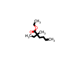 C=CCCC(C)(CC)C(=O)OCC